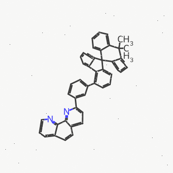 CC1(C)c2ccccc2C2(c3ccccc3-c3c(-c4cccc(-c5ccc6ccc7cccnc7c6n5)c4)cccc32)c2ccccc21